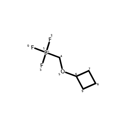 F[B-](F)(F)COC1CCC1